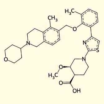 CO[C@H]1CN(c2nc(-c3cccc(C)c3OCc3ccc4c(c3C)CCN(C3CCOCC3)C4)cs2)CC[C@H]1C(=O)O